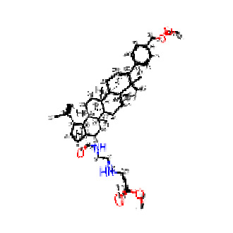 C=C(C)[C@@H]1CC[C@]2(C(=O)NCCNCC(=O)OC)CC[C@]3(C)[C@H](CC[C@@H]4[C@@]5(C)CC=C(c6ccc(COOC)cc6)C(C)(C)[C@@H]5CC[C@]43C)[C@@H]12